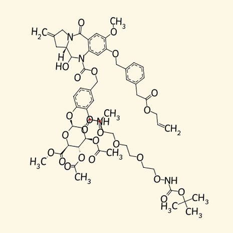 C=CCOC(=O)Cc1cccc(COc2cc3c(cc2OC)C(=O)N2CC(=C)C[C@H]2C(O)N3C(=O)OCc2ccc(O[C@@H]3O[C@H](C(=O)OC)[C@@H](OC(C)=O)[C@H](OC(C)=O)[C@H]3OC(C)=O)c(C(=O)NCCOCCOCCONC(=O)OC(C)(C)C)c2)c1